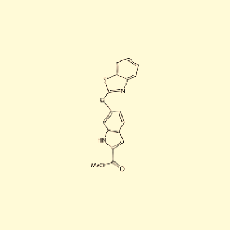 COC(=O)c1cc2ccc(Oc3nc4ccccc4s3)cc2[nH]1